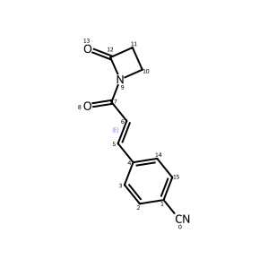 N#Cc1ccc(/C=C/C(=O)N2CCC2=O)cc1